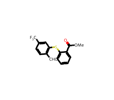 COC(=O)c1ccccc1Sc1cc(C(F)(F)F)ccc1C=O